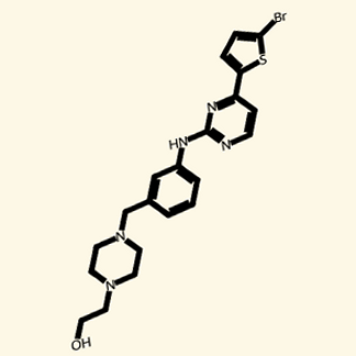 OCCN1CCN(Cc2cccc(Nc3nccc(-c4ccc(Br)s4)n3)c2)CC1